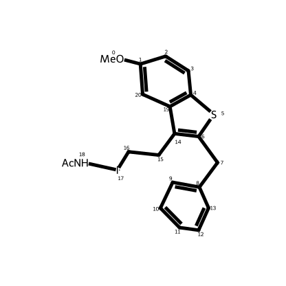 COc1ccc2sc(Cc3ccccc3)c(CC[I]NC(C)=O)c2c1